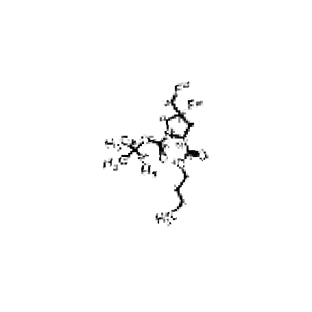 CCCCOC(=O)[C@@H]1C[C@](F)(CF)CN1C(=O)OC(C)(C)C